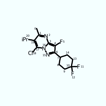 Cc1nc2c(F)c(C3CCC(F)(F)CC3)nn2c(Cl)c1C(C)C